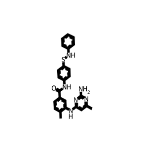 Cc1cc(Nc2cc(C(=O)Nc3ccc(SNc4ccccc4)cc3)ccc2C)nc(N)n1